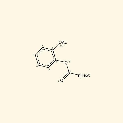 CCCCCCCC(=O)Oc1ccccc1OC(C)=O